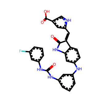 O=C(Nc1cccc(F)c1)Nc1cccc(Nc2ccc3c(c2)NC(=O)C3=Cc2cc(C(=O)O)c[nH]2)c1